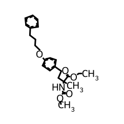 CCOC(=O)C(C)(CCc1ccc(OCCCCc2ccccc2)cc1)NC(=O)OC